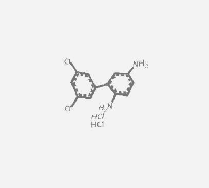 Cl.Cl.Nc1ccc(N)c(-c2cc(Cl)cc(Cl)c2)c1